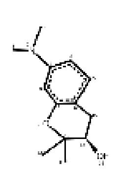 CN(C)c1ccc2c(c1)OC(C)(C)[C@H](O)[C]2